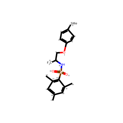 CSc1ccc(OCC(NS(=O)(=O)c2c(C)cc(C)cc2C)C(F)(F)F)cc1